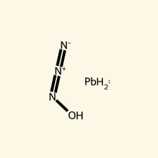 [N-]=[N+]=NO.[PbH2]